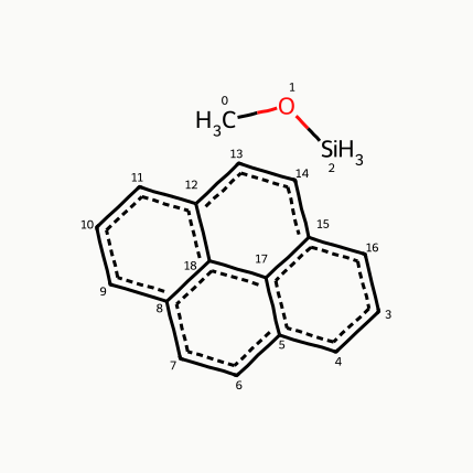 CO[SiH3].c1cc2ccc3cccc4ccc(c1)c2c34